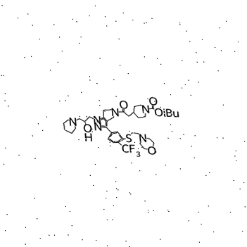 CC(C)COC(=O)N1CCC(CC(=O)N2CCc3c(c(-c4ccc(C(F)(F)F)c(SCCN5CCOCC5)c4)nn3CC(O)CN3CCCCC3)C2)CC1